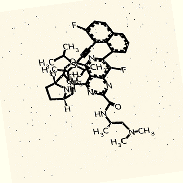 CC(C)[Si](C#Cc1c(F)ccc2cccc(-c3nc4c5c(nc(C(=O)N[C@H](C)CN(C)C)nc5c3F)N3C[C@@H]5CC[C@@H](N5)[C@H]3CO4)c12)(C(C)C)C(C)C